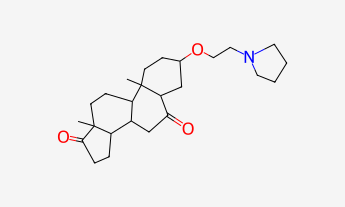 CC12CCC3C(CC(=O)C4CC(OCCN5CCCC5)CCC43C)C1CCC2=O